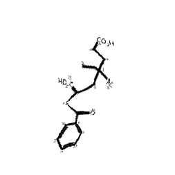 CC(=O)C(C)(CCC(=O)O)CC(SC(=O)c1ccccc1)C(=O)O